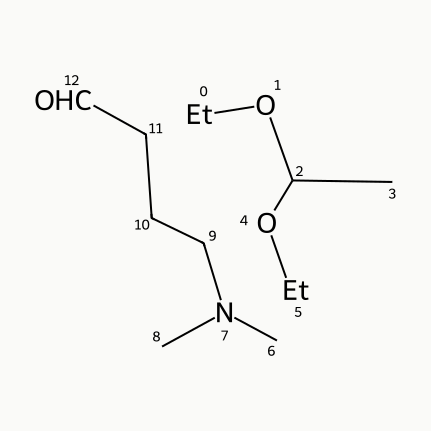 CCOC(C)OCC.CN(C)CCCC=O